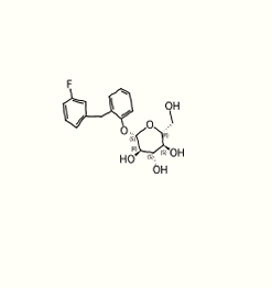 OC[C@H]1O[C@@H](Oc2ccccc2Cc2cccc(F)c2)[C@H](O)[C@@H](O)[C@@H]1O